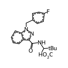 CC(C)(C)C(NC(=O)c1nn(Cc2ccc(F)cc2)c2ccccc12)C(=O)O